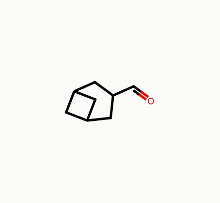 O=CC1CC2CC(C1)C2